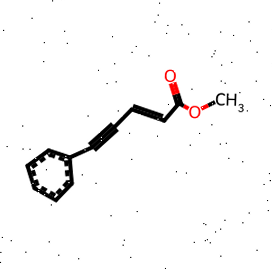 COC(=O)/C=C/C#Cc1ccccc1